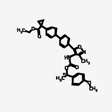 CCOC(=O)C1(c2ccc(-c3ccc(-c4onc(C)c4NC(=O)O[C@H](C)c4ccc(OC)cc4)cc3)cc2)CC1